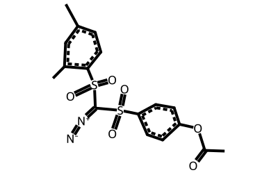 CC(=O)Oc1ccc(S(=O)(=O)C(=[N+]=[N-])S(=O)(=O)c2ccc(C)cc2C)cc1